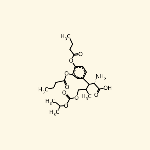 CCCC(=O)Oc1ccc(C(C(C)COC(=O)OC(C)C)[C@H](N)C(=O)O)cc1OC(=O)CCC